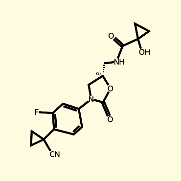 N#CC1(c2ccc(N3C[C@H](CNC(=O)C4(O)CC4)OC3=O)cc2F)CC1